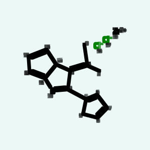 CC(C)=C1C(C2=CC=CC2)=BC2=CC=CC21.[Cl-].[Cl-].[Zr+2]